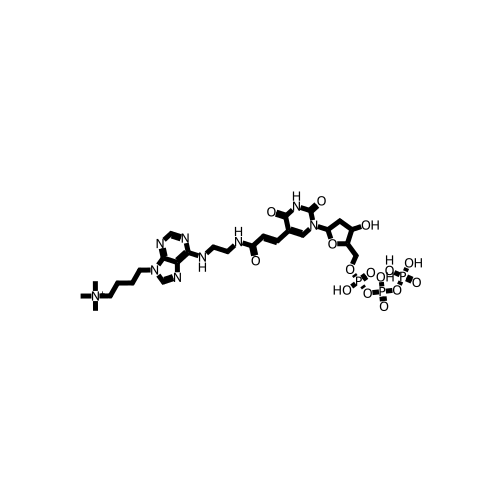 C[N+](C)(C)CCCCn1cnc2c(NCCNC(=O)/C=C/c3cn(C4CC(O)C(COP(=O)(O)OP(=O)(O)OP(=O)(O)O)O4)c(=O)[nH]c3=O)ncnc21